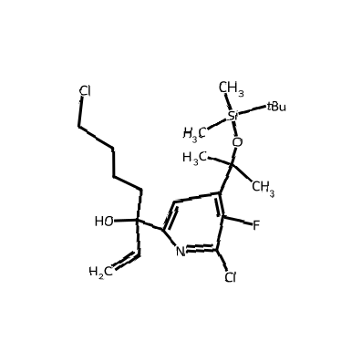 C=CC(O)(CCCCCl)c1cc(C(C)(C)O[Si](C)(C)C(C)(C)C)c(F)c(Cl)n1